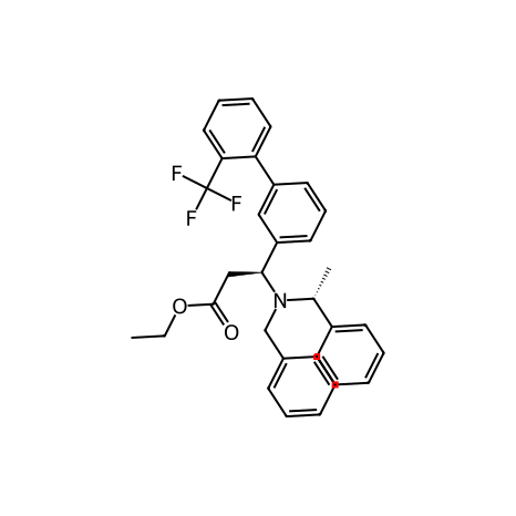 CCOC(=O)C[C@@H](c1cccc(-c2ccccc2C(F)(F)F)c1)N(Cc1ccccc1)[C@H](C)c1ccccc1